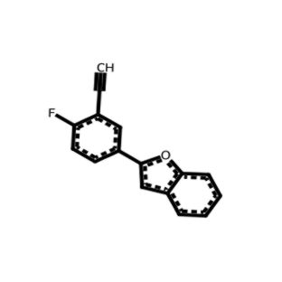 C#Cc1cc(-c2cc3ccccc3o2)ccc1F